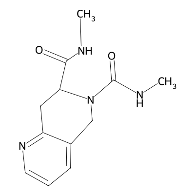 CNC(=O)C1Cc2ncccc2CN1C(=O)NC